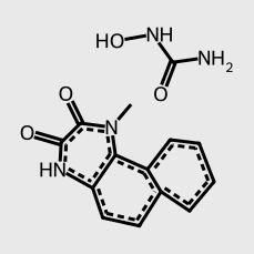 Cn1c(=O)c(=O)[nH]c2ccc3ccccc3c21.NC(=O)NO